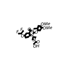 COc1ccc(Cn2c(=O)c3cc(OC(CF)CF)ccc3n(C3CN(C(=O)CO)C3)c2=O)cc1OC